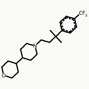 CC(C)(CCN1CCC(C2CCOCC2)CC1)c1ccc(C(F)(F)F)cc1